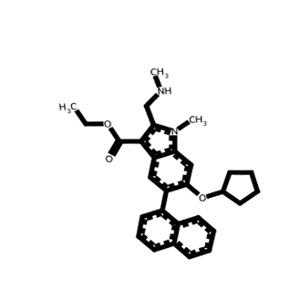 CCOC(=O)c1c(CNC)n(C)c2cc(OC3CCCC3)c(-c3cccc4ccccc34)cc12